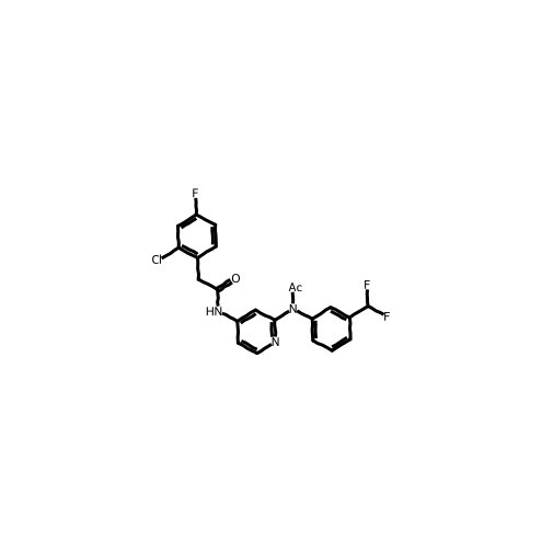 CC(=O)N(c1cccc(C(F)F)c1)c1cc(NC(=O)Cc2ccc(F)cc2Cl)ccn1